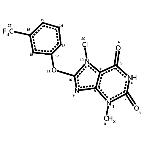 Cn1c(=O)[nH]c(=O)c2c1nc(Oc1cccc(C(F)(F)F)c1)n2Cl